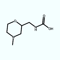 CN1CCOC(CNC(=O)O)C1